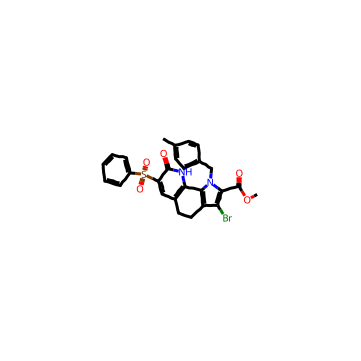 COC(=O)c1c(Br)c2c(n1Cc1ccc(C)cc1)-c1[nH]c(=O)c(S(=O)(=O)c3ccccc3)cc1CC2